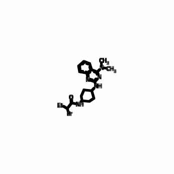 CCC(Br)C(=O)NC1CCC(Nc2nc(N(C)C)c3ccccc3n2)CC1